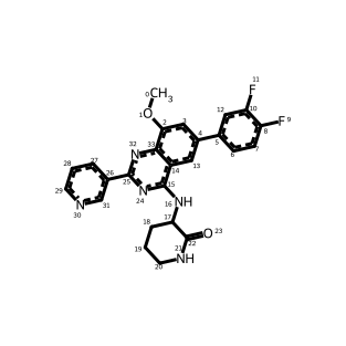 COc1cc(-c2ccc(F)c(F)c2)cc2c(NC3CCCNC3=O)nc(-c3cccnc3)nc12